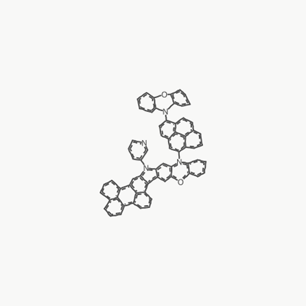 c1cncc(-n2c3cc4c(cc3c3c5cccc6c7cccc8cccc(c(cc32)c65)c87)oc2ccccc2n4-c2cc3ccc(N4c5ccccc5Oc5ccccc54)c4ccc5cccc2c5c34)c1